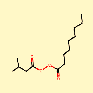 CCCCCCCCC(=O)OOC(=O)CC(C)C